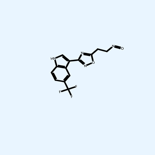 O=NCCc1nc(-c2c[nH]c3ccc(C(F)(F)F)cc23)no1